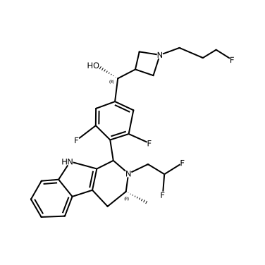 C[C@@H]1Cc2c([nH]c3ccccc23)C(c2c(F)cc([C@H](O)C3CN(CCCF)C3)cc2F)N1CC(F)F